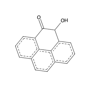 O=C1c2cccc3ccc4cccc(c4c23)C1O